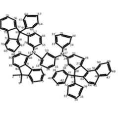 CC1(C)c2ccccc2-c2c(N(c3cccc(N(c4ccccc4)c4ccc5c(c4)C(c4ccccc4)(c4ccccc4)c4ccc6ccccc6c4-5)c3)c3cccc(C4(c5ccccc5)c5ccccc5-c5ccccc54)c3)cccc21